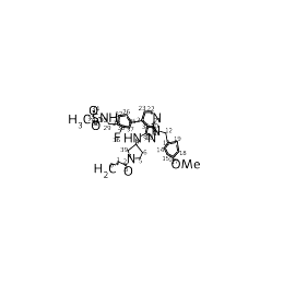 C=CC(=O)N1CCC(Nc2nn(Cc3ccc(OC)cc3)c3nccc(-c4ccc(CNS(C)(=O)=O)c(F)c4)c23)C1